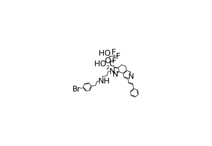 O=C(O)C(F)(F)F.O=C(O)c1c2c(nn1CCCNCCc1ccc(Br)cc1)-c1cc(/C=C/c3ccccc3)ncc1CC2